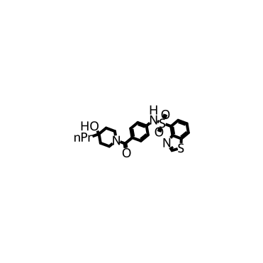 CCCC1(O)CCN(C(=O)c2ccc(NS(=O)(=O)c3cccc4scnc34)cc2)CC1